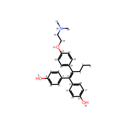 CCCC(=C(c1ccc(O)cc1)c1ccc(O)cc1)c1ccc(OCCN(C)C)cc1